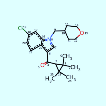 CC1(C)C(C(=O)c2cn(CC3CCOCC3)c3cc(Cl)ccc23)C1(C)C